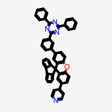 c1ccc(-c2nc(-c3ccccc3)nc(-c3cccc(-c4ccc5c(c4)C4(c6cc(-c7ccncc7)ccc6O5)c5ccccc5-c5ccccc54)c3)n2)cc1